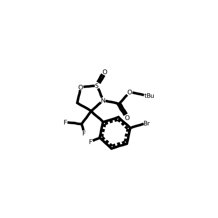 CC(C)(C)OC(=O)N1S(=O)OCC1(c1cc(Br)ccc1F)C(F)F